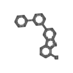 Clc1cccc2c1sc1ccc(-c3cccc(-c4ccccc4)c3)cc12